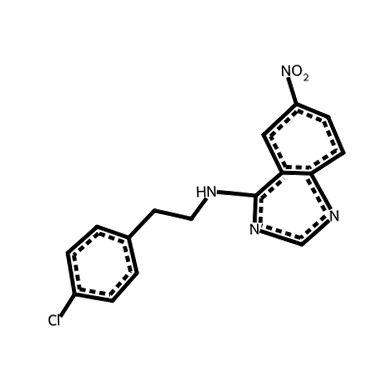 O=[N+]([O-])c1ccc2ncnc(NCCc3ccc(Cl)cc3)c2c1